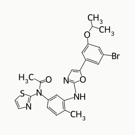 CC(=O)N(c1ccc(C)c(Nc2ncc(-c3cc(Br)cc(OC(C)C)c3)o2)c1)c1nccs1